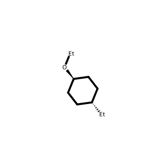 CCO[C@H]1CC[C@H](CC)CC1